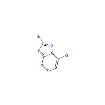 Clc1ccnc2cc(Br)nn12